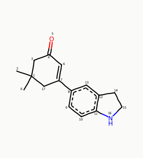 CC1(C)CC(=O)C=C(c2ccc3c(c2)CCN3)C1